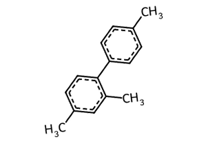 Cc1ccc(-c2ccc(C)cc2C)cc1